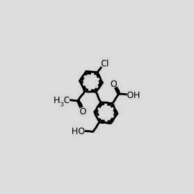 CC(=O)c1ccc(Cl)cc1-c1cc(CO)ccc1C(=O)O